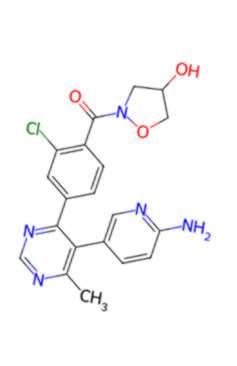 Cc1ncnc(-c2ccc(C(=O)N3CC(O)CO3)c(Cl)c2)c1-c1ccc(N)nc1